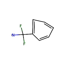 [N]C(F)(F)c1ccccc1